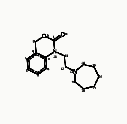 O=C1OCc2ccccc2N1CCN1CCCCCC1